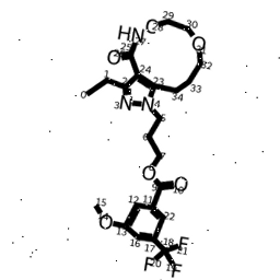 CCc1nn(CCCOC(=O)c2cc(OC)cc(C(F)(F)F)c2)c2c1C(=O)NCCCOCCC2